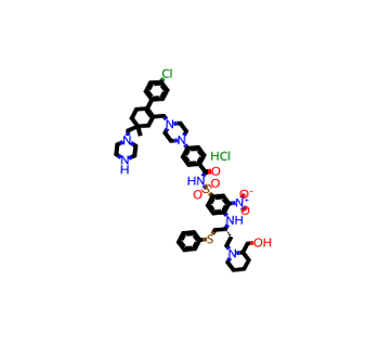 CC1(CN2CCNCC2)CCC(c2ccc(Cl)cc2)=C(CN2CCN(c3ccc(C(=O)NS(=O)(=O)c4ccc(N[C@H](CCN5CCCCC5CO)CSc5ccccc5)c([N+](=O)[O-])c4)cc3)CC2)C1.Cl